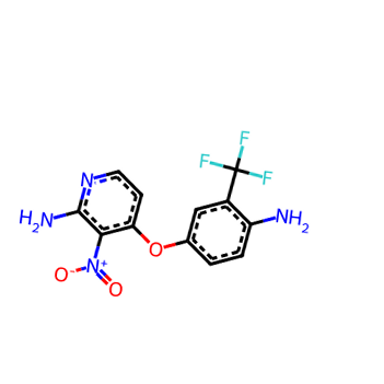 Nc1ccc(Oc2ccnc(N)c2[N+](=O)[O-])cc1C(F)(F)F